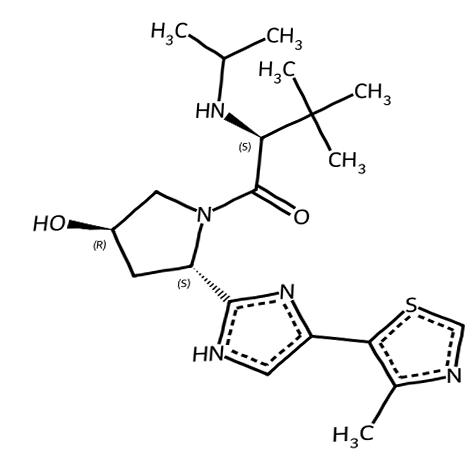 Cc1ncsc1-c1c[nH]c([C@@H]2C[C@@H](O)CN2C(=O)[C@@H](NC(C)C)C(C)(C)C)n1